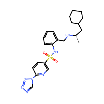 C[C@@H](CC1CCCCC1)NCc1ccccc1NS(=O)(=O)c1ccc(-n2cnnn2)nc1